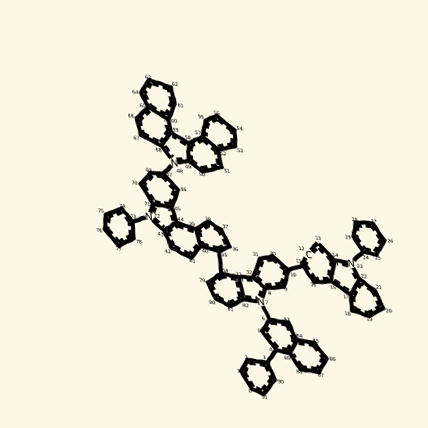 c1ccc(-c2cc(-n3c4cc(-c5ccc6c(c5)c5ccccc5n6-c5ccccc5)ccc4c4c(-c5cccc6c5ccc5c6c6cc(-n7c8ccc9ccccc9c8c8c9ccccc9ccc87)ccc6n5-c5ccccc5)cccc43)cc3ccccc23)cc1